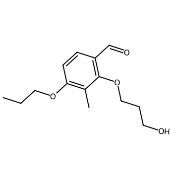 CCCOc1ccc(C=O)c(OCCCO)c1C